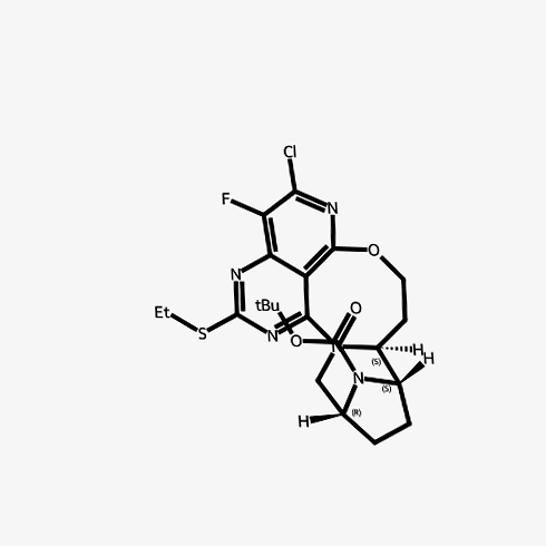 CCSc1nc2c3c(nc(Cl)c(F)c3n1)OCC[C@H]1[C@@H]3CC[C@H](CN21)N3C(=O)OC(C)(C)C